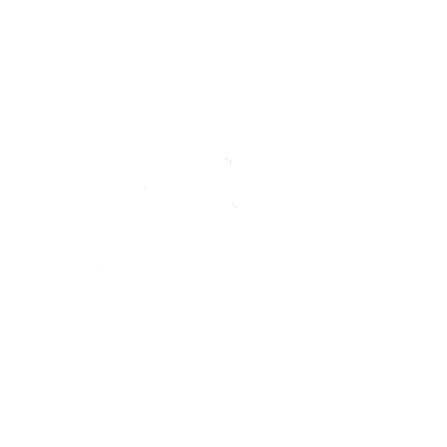 CCCCCCc1nc2cc(CCCC)c(=O)c(CCCC)cc2n1Cc1ccc(-c2ccccc2C(=O)O)cc1